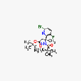 CC(C)(C)OC(=O)CC(C)(N[S@+]([O-])C(C)(C)C)c1nc(Br)ccc1F